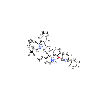 C=CC1C(CCc2ccc3c(oc4nc(-c5ccccc5)ccc43)c2-c2cc(CC(C)C)cc[n+]2C)c2ccc(C(C)(C)C)cc2-c2cc(CC(C)(C)C)c([Si](C)(C)C)c[n+]21